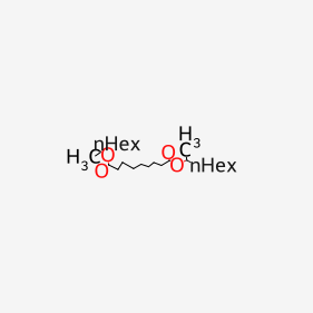 CCCCCCC(C)OC(=O)CCCCCCCC(=O)OC(C)CCCCCC